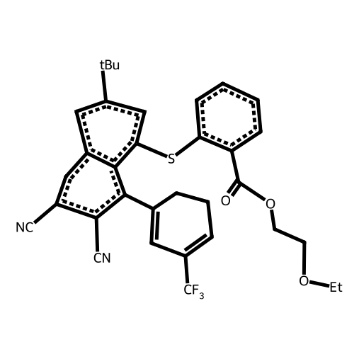 CCOCCOC(=O)c1ccccc1Sc1cc(C(C)(C)C)cc2cc(C#N)c(C#N)c(C3=CC(C(F)(F)F)=CCC3)c12